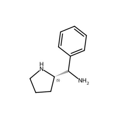 NC(c1ccccc1)[C@@H]1CCCN1